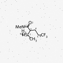 CNC(=O)C(CCC(F)(F)F)[SiH](C)C